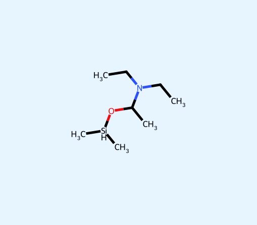 CCN(CC)C(C)O[SiH](C)C